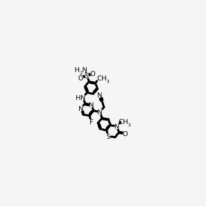 Cc1ccc(Nc2ncc(F)c(N(CC#N)c3ccc4c(c3)N(C)C(=O)CS4)n2)cc1S(N)(=O)=O